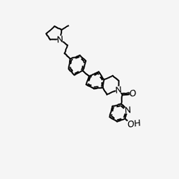 CC1CCCN1CCc1ccc(-c2ccc3c(c2)CCN(C(=O)c2cccc(O)n2)C3)cc1